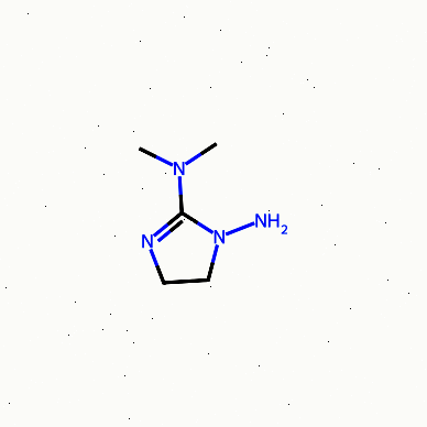 CN(C)C1=NCCN1N